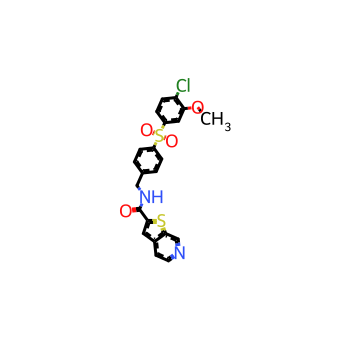 COc1cc(S(=O)(=O)c2ccc(CNC(=O)c3cc4ccncc4s3)cc2)ccc1Cl